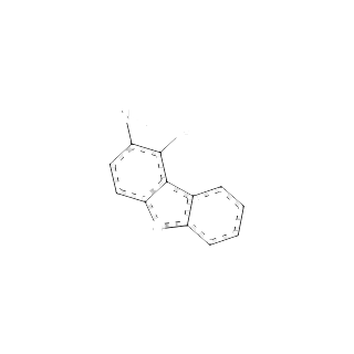 O=[N+]([O-])c1ccc2oc3ccccc3c2c1Br